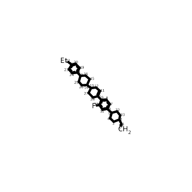 C=CC1CCC(c2ccc(C3=CCC(C4CCC(c5ccc(CC)cc5)CC4)CC3)c(F)c2)CC1